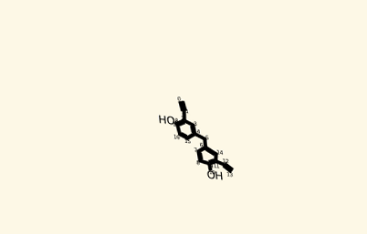 C#Cc1cc(Cc2ccc(O)c(C#C)c2)ccc1O